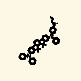 CCC[C@H](C)c1ccc(N(c2ccccc2)c2ccc3c(c2)C(C)(C)c2c-3ccc3c2C(C)(C)c2cc(N(c4ccccc4)c4ccccc4)ccc2-3)cc1